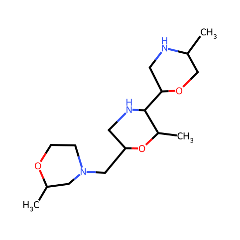 CC1COC(C2NCC(CN3CCOC(C)C3)OC2C)CN1